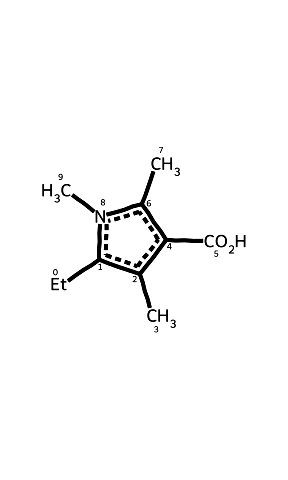 CCc1c(C)c(C(=O)O)c(C)n1C